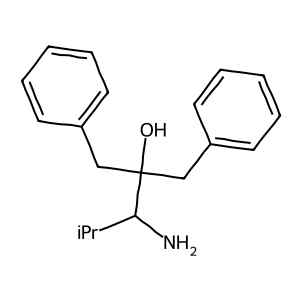 CC(C)C(N)C(O)(Cc1ccccc1)Cc1ccccc1